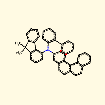 CC1(C)c2ccccc2-c2c(N(c3ccc4c(ccc5ccc6ccccc6c54)c3)c3ccccc3-c3ccccc3)cccc21